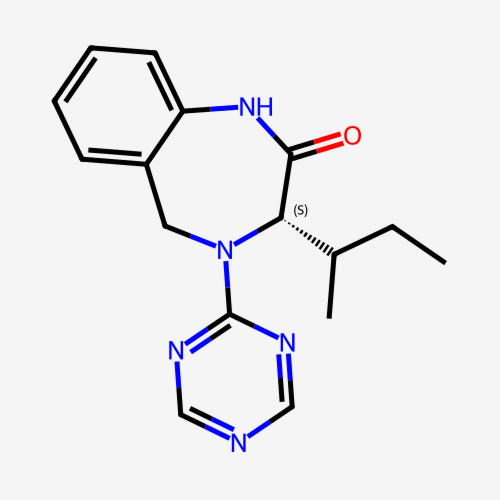 CCC(C)[C@H]1C(=O)Nc2ccccc2CN1c1ncncn1